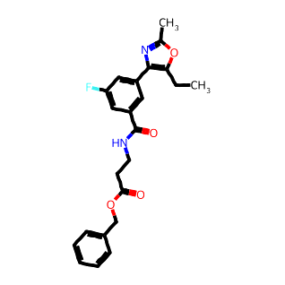 CCc1oc(C)nc1-c1cc(F)cc(C(=O)NCCC(=O)OCc2ccccc2)c1